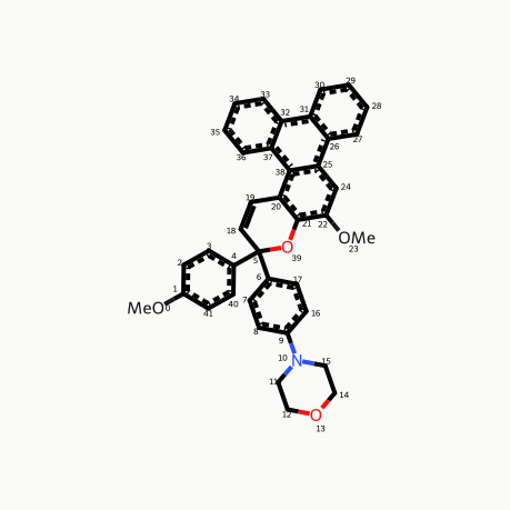 COc1ccc(C2(c3ccc(N4CCOCC4)cc3)C=Cc3c(c(OC)cc4c5ccccc5c5ccccc5c34)O2)cc1